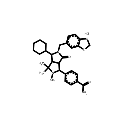 CN1C(c2ccc(C(=N)N)cc2)C2C(=O)N(Cc3ccc4c(c3)OCO4)C(C3CCCCC3)C2C1(C)C.Cl